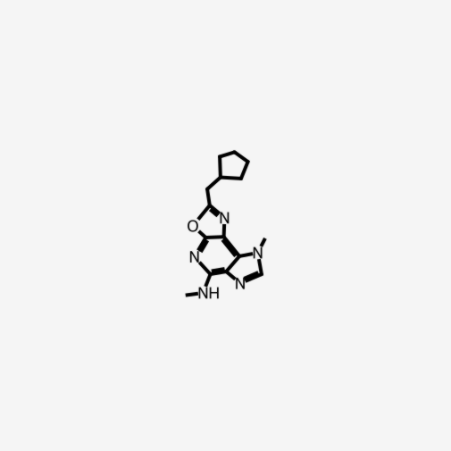 CNc1nc2oc(CC3CCCC3)nc2c2c1ncn2C